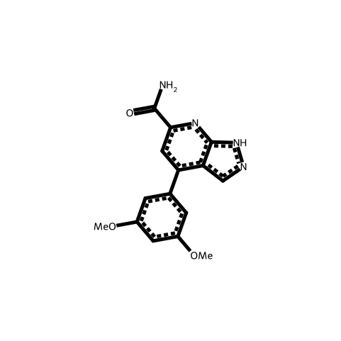 COc1cc(OC)cc(-c2cc(C(N)=O)nc3[nH]ncc23)c1